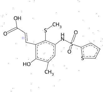 CSc1c(NS(=O)(=O)c2cccs2)cc(C)c(O)c1/C=C/C(=O)O